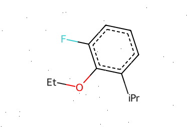 CCOc1c(F)cccc1C(C)C